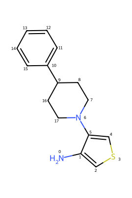 Nc1cscc1N1CCC(c2ccccc2)CC1